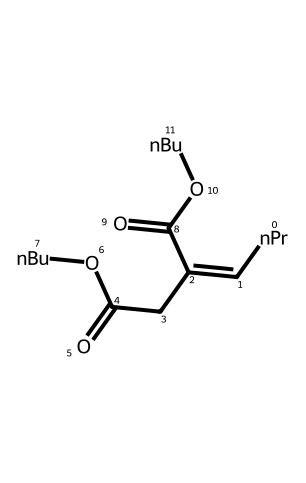 CCCC=C(CC(=O)OCCCC)C(=O)OCCCC